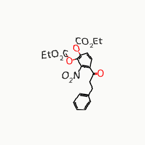 CCOC(=O)Oc1ccc(C(=O)CCc2ccccc2)c([N+](=O)[O-])c1OC(=O)OCC